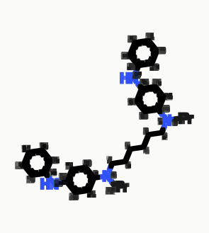 CC(C)N(CCCCCCN(c1ccc(Nc2ccccc2)cc1)C(C)C)c1ccc(Nc2ccccc2)cc1